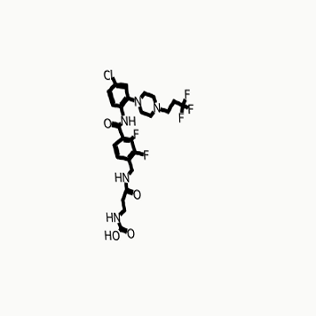 O=C(O)NCCC(=O)NCc1ccc(C(=O)Nc2ccc(Cl)cc2N2CCN(CCC(F)(F)F)CC2)c(F)c1F